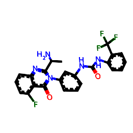 CC(N)c1nc2cccc(F)c2c(=O)n1-c1cccc(NC(=O)Nc2ccccc2C(F)(F)F)c1